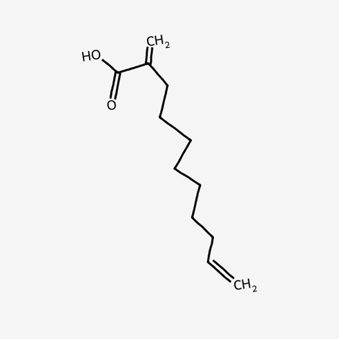 C=CCCCCCCCC(=C)C(=O)O